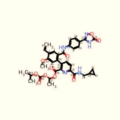 C=Cc1cc(C(=O)Nc2ccc(-c3noc(=O)[nH]3)cc2)c(-c2ccc(C(=O)NCC3CC3)nc2C(=O)OC(C)OC(=O)OC(C)C)cc1OC